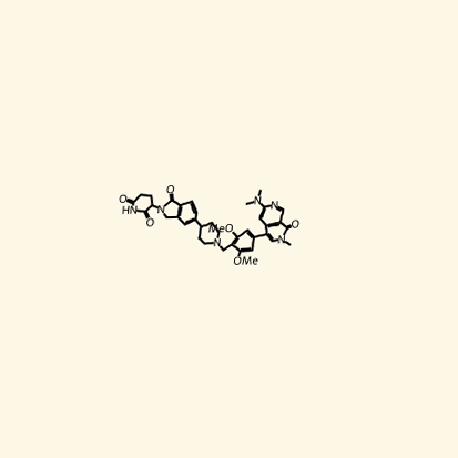 COc1cc(-c2cn(C)c(=O)c3cnc(N(C)C)cc23)cc(OC)c1CN1CCC(c2ccc3c(c2)CN(C2CCC(=O)NC2=O)C3=O)CC1